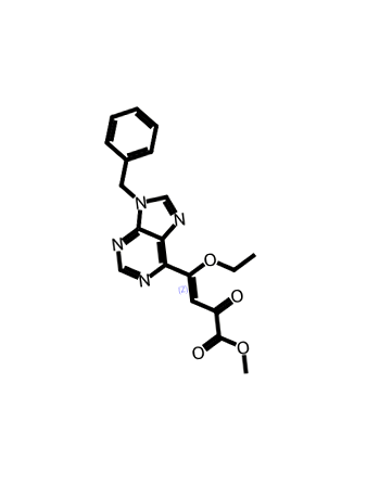 CCO/C(=C\C(=O)C(=O)OC)c1ncnc2c1ncn2Cc1ccccc1